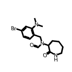 CN(C)c1cc(Br)ccc1CN(C=O)C1CCCCNC1=O